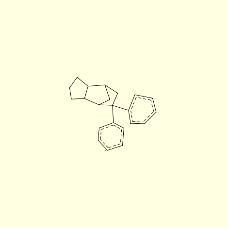 [c]1ccc(C2(c3cc[c]cc3)CC3CC2C2CCCC32)cc1